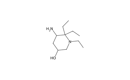 CCN1CC(O)CC(N)C1(CC)CC